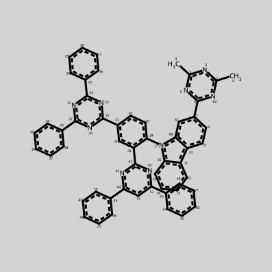 Cc1nc(C)nc(-c2ccc3c4ccccc4n(-c4ccc(-c5nc(-c6ccccc6)nc(-c6ccccc6)n5)cc4-c4nc(-c5ccccc5)cc(-c5ccccc5)n4)c3c2)n1